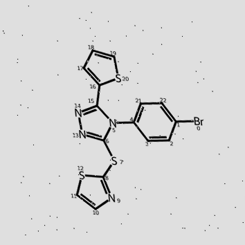 Brc1ccc(-n2c(Sc3nccs3)nnc2-c2cccs2)cc1